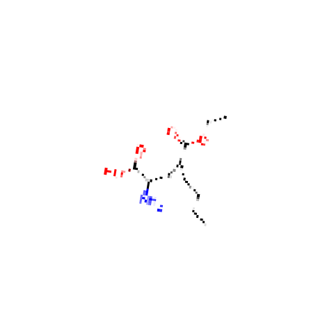 CCCC1C(C(=O)OCC)C1[C@@H](N)C(=O)O